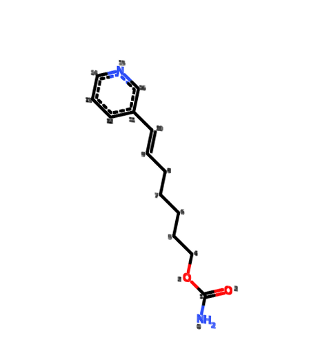 NC(=O)OCCCCCC=Cc1cccnc1